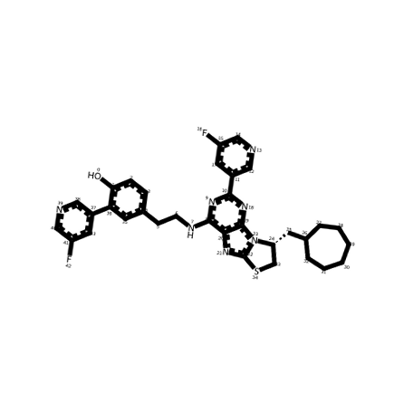 Oc1ccc(CCNc2nc(-c3cncc(F)c3)nc3c2nc2n3[C@H](CC3CCCCCC3)CS2)cc1-c1cncc(F)c1